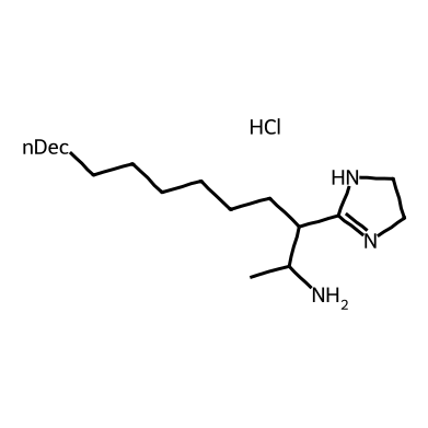 CCCCCCCCCCCCCCCCC(C1=NCCN1)C(C)N.Cl